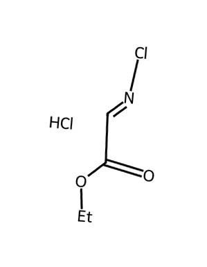 CCOC(=O)/C=N/Cl.Cl